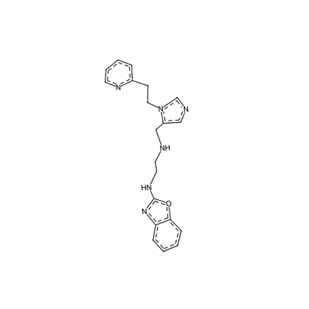 c1ccc(CCn2cncc2CNCCNc2nc3ccccc3o2)nc1